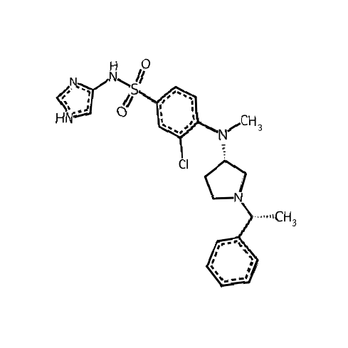 C[C@H](c1ccccc1)N1CC[C@H](N(C)c2ccc(S(=O)(=O)Nc3c[nH]cn3)cc2Cl)C1